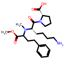 COC(=O)C(CCc1ccccc1)N(C)[C@@H](CCCCN)C(=O)N1CCC[C@H]1C(=O)O